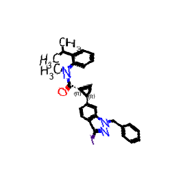 CC(C)c1ccccc1N(C)C(=O)[C@@H]1C[C@H]1c1ccc2c(I)nn(Cc3ccccc3)c2c1